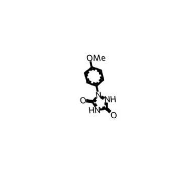 COc1ccc(-n2[nH]c(=O)[nH]c2=O)cc1